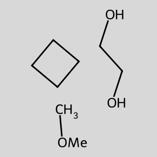 C1CCC1.COC.OCCO